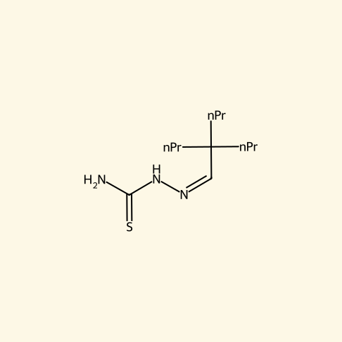 CCCC(/C=N\NC(N)=S)(CCC)CCC